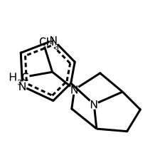 CC(C)N1CC2CCC(C1)N2c1cncnc1